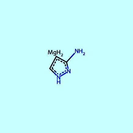 Nc1cc[nH]n1.[MgH2]